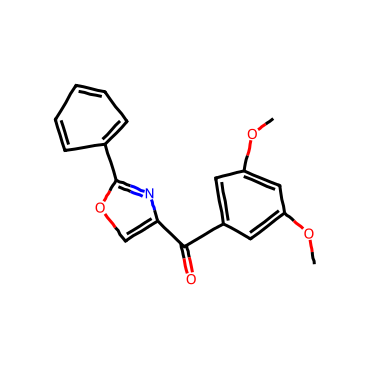 COc1cc(OC)cc(C(=O)c2coc(-c3ccccc3)n2)c1